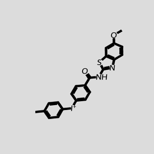 COc1ccc2nc(NC(=O)c3ccc([I+]c4ccc(C)cc4)cc3)sc2c1